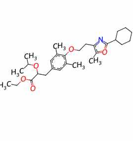 CCOC(=O)C(Cc1cc(C)c(OCCc2nc(C3CCCCC3)oc2C)c(C)c1)OC(C)C